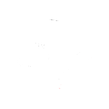 CC1(C(=O)O)C=CC=C(C(=O)O)C1.c1ccc2c(c1)ccc1c3c(ccc12)CCCC3